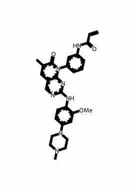 C=CC(=O)Nc1cccc(-n2c(=O)c(C)cc3cnc(Nc4ccc(N5CCN(C)CC5)cc4OC)nc32)c1